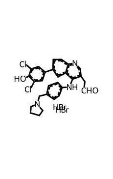 Br.Br.O=CCc1cnc2ccc(-c3cc(Cl)c(O)c(Cl)c3)cc2c1Nc1ccc(CN2CCCC2)cc1